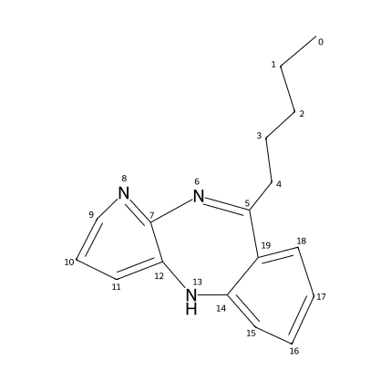 CCCCCC1=Nc2ncccc2Nc2ccccc21